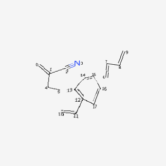 C=C(C#N)CC.C=CC=C.C=Cc1ccccc1